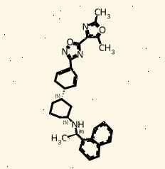 Cc1nc(-c2nc(C3=CCC([C@H]4CCC[C@H](N[C@H](C)c5cccc6ccccc56)C4)C=C3)no2)c(C)o1